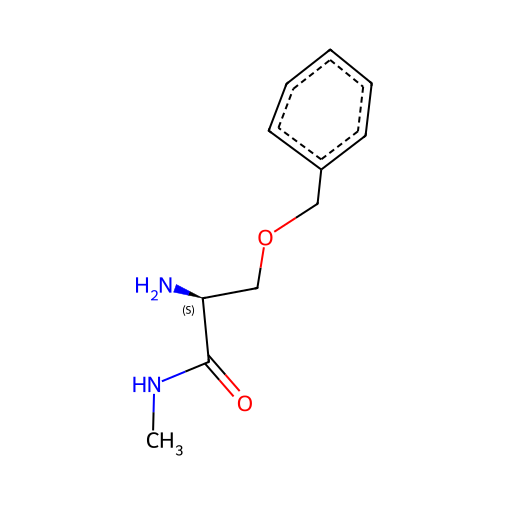 CNC(=O)[C@@H](N)COCc1ccccc1